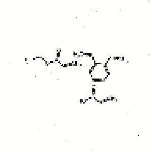 C=CC(=O)O.C=CC(=O)OCC.C=Cc1ccccc1C=C